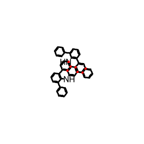 c1ccc(-c2cc(Nc3c(-c4ccccc4)cccc3-c3ccccc3)cc(Nc3c(-c4ccccc4)cccc3-c3ccccc3)c2)cc1